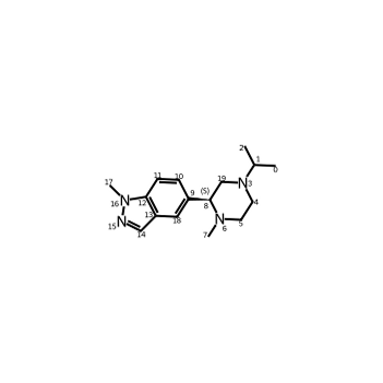 CC(C)N1CCN(C)[C@@H](c2ccc3c(cnn3C)c2)C1